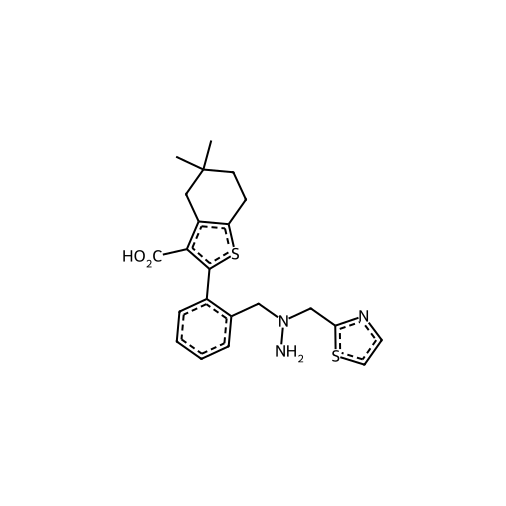 CC1(C)CCc2sc(-c3ccccc3CN(N)Cc3nccs3)c(C(=O)O)c2C1